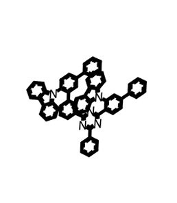 c1ccc(-c2ccc(-n3c4ccccc4c4ccccc43)c(-c3cccc(-c4nc(-c5ccccc5)nc(-c5ccc(-c6ccccc6)cc5-n5c6ccccc6c6ccccc65)n4)c3)c2)cc1